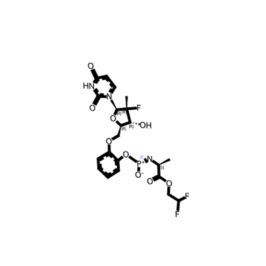 C[C@H](/N=[P+](\[O-])Oc1ccccc1OC[C@H]1O[C@@H](n2ccc(=O)[nH]c2=O)[C@](C)(F)[C@@H]1O)C(=O)OCC(F)F